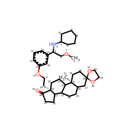 COCC(NC1CCCCC1)c1cccc(OCC[C@]23CCC4C(CCC5CC6(CC[C@@]54C)OCCO6)C2CCC3=O)c1